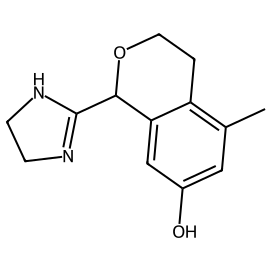 Cc1cc(O)cc2c1CCOC2C1=NCCN1